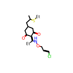 CCSC(C)CC1CC(=O)C(=C(CC)NOCC=CCl)C(=O)C1